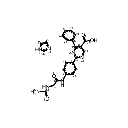 NC(=O)NCC(=O)Nc1ccc(-c2ncc(C(=O)O)c(-c3ccccc3)n2)cc1.c1c[nH]cn1